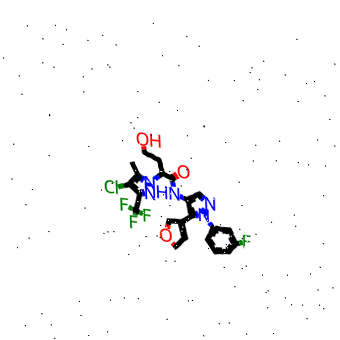 Cc1c(Cl)c(C(F)(F)F)nn1C(CCO)C(=O)Nc1cnn(-c2cccc(F)c2)c1C1=CCOC1